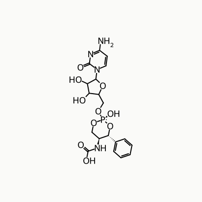 Nc1ccn(C2OC(CO[P@@]3(O)OC[C@H](NC(=O)O)[C@@H](c4ccccc4)O3)C(O)C2O)c(=O)n1